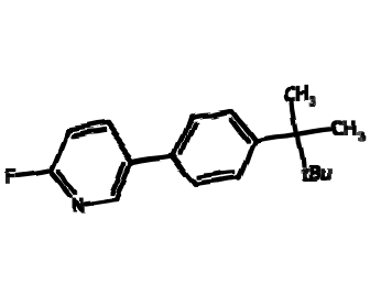 CC(C)(C)C(C)(C)c1ccc(-c2ccc(F)nc2)cc1